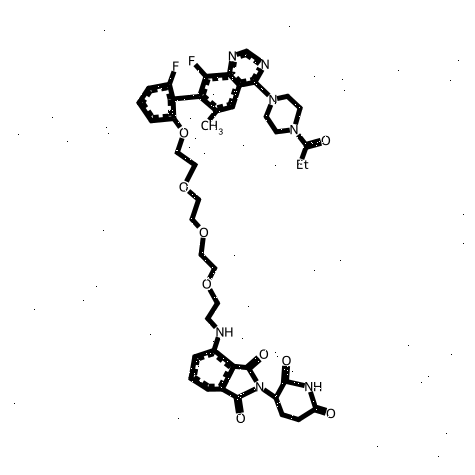 CCC(=O)N1CCN(c2ncnc3c(F)c(-c4c(F)cccc4OCCOCCOCCOCCNc4cccc5c4C(=O)N(C4CCC(=O)NC4=O)C5=O)c(C)cc23)CC1